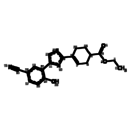 CCOC(=O)C1CC=C(c2nc(-c3cc(C#N)ccc3O)cs2)CC1